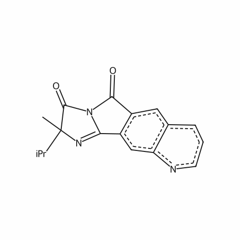 CC(C)C1(C)N=C2c3cc4ncccc4cc3C(=O)N2C1=O